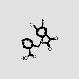 O=C(O)c1ccccc1CN1C(=O)C(=O)c2cc(F)c(Cl)cc21